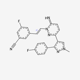 Cn1cc(-c2ccc(=N)n(/C=C/c3cc(F)cc(C#N)c3)n2)c(-c2ccc(F)cc2)n1